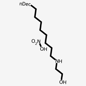 CCCCCCCCCCCCCCCCCCNCCO.O=[N+]([O-])O